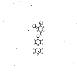 Clc1ccc(COc2ccc(C3C=CC=CC3)cc2)cc1Cl